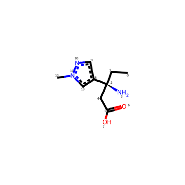 CC[C@](N)(CC(=O)O)c1cnn(C)c1